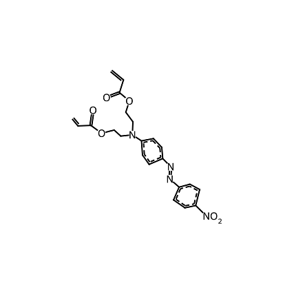 C=CC(=O)OCCN(CCOC(=O)C=C)c1ccc(N=Nc2ccc([N+](=O)[O-])cc2)cc1